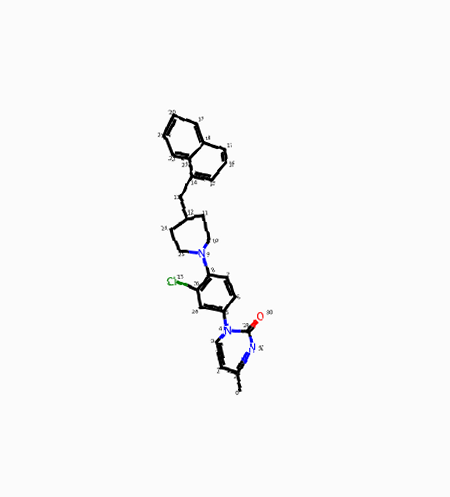 Cc1ccn(-c2ccc(N3CCC(Cc4cccc5ccccc45)CC3)c(Cl)c2)c(=O)n1